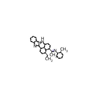 C=Cc1ccc2c3c(ccc(/C(C)=N/c4ccccc4C)c13)[nH]n1c3ccccc3nc21